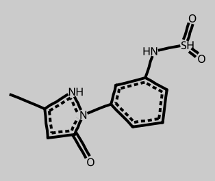 Cc1cc(=O)n(-c2cccc(N[SH](=O)=O)c2)[nH]1